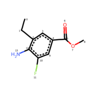 CCc1cc(C(=O)OC)cc(F)c1N